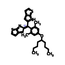 CCCCC(CCCC)Oc1cc(C)c(/C(=C2\C=c3ccsc3=N2)c2cc3ccsc3[nH]2)c(C)c1